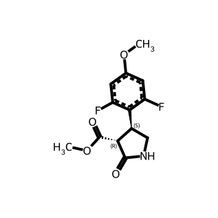 COC(=O)[C@H]1C(=O)NC[C@@H]1c1c(F)cc(OC)cc1F